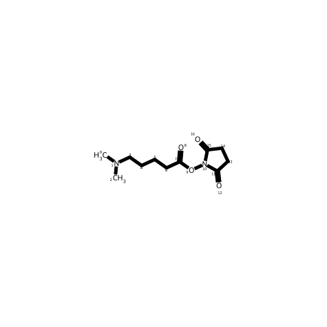 CN(C)CCCCC(=O)ON1C(=O)CCC1=O